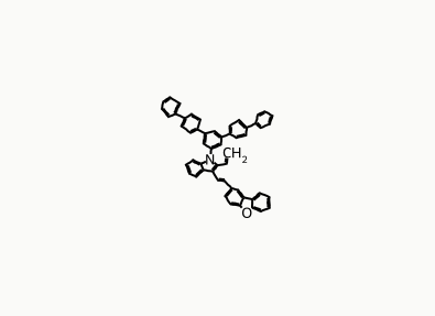 C=Cc1c(/C=C/c2ccc3oc4ccccc4c3c2)c2ccccc2n1-c1cc(-c2ccc(-c3ccccc3)cc2)cc(-c2ccc(-c3ccccc3)cc2)c1